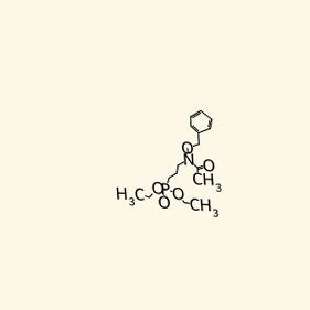 CCOP(=O)(CCCN(OCc1ccccc1)C(C)=O)OCC